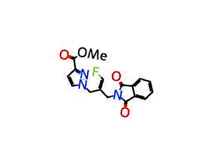 COC(=O)c1ccn(CC(=CF)CN2C(=O)c3ccccc3C2=O)n1